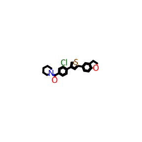 O=C(c1ccc(-c2csc(-c3ccc4c(c3)CCO4)c2)c(Cl)c1)N1CCCCC1